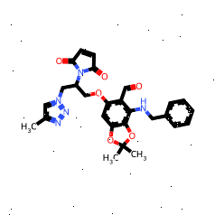 Cc1cn(CC(COc2cc3c(c(NCc4ccccc4)c2C=O)OC(C)(C)O3)N2C(=O)C=CC2=O)nn1